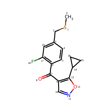 CSCc1ccc(C(=O)c2cnoc2C2CC2)c(F)c1